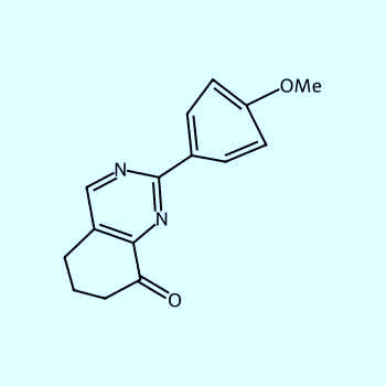 COc1ccc(-c2ncc3c(n2)C(=O)CCC3)cc1